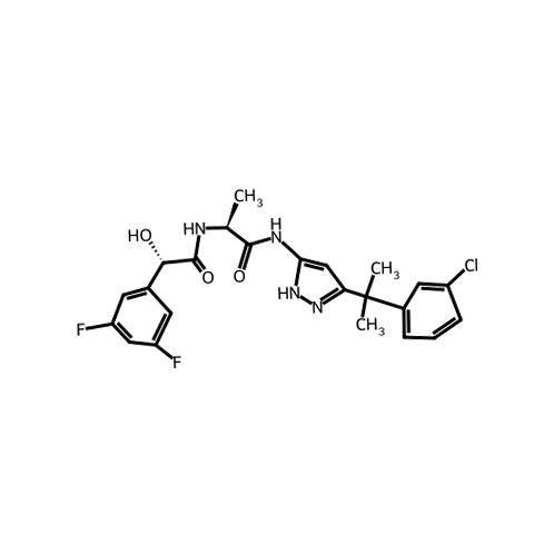 C[C@H](NC(=O)[C@@H](O)c1cc(F)cc(F)c1)C(=O)Nc1cc(C(C)(C)c2cccc(Cl)c2)n[nH]1